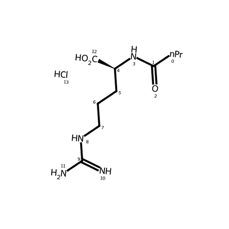 CCCC(=O)N[C@@H](CCCNC(=N)N)C(=O)O.Cl